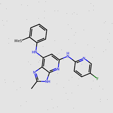 CSc1ccccc1Nc1cc(Nc2ccc(F)cn2)nc2[nH]c(C)nc12